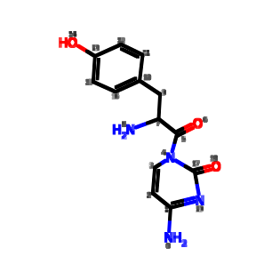 Nc1ccn(C(=O)C(N)Cc2ccc(O)cc2)c(=O)n1